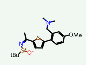 COc1ccc(-c2ccc(/C(C)=N\[S+]([O-])C(C)(C)C)s2)c(CN(C)C)c1